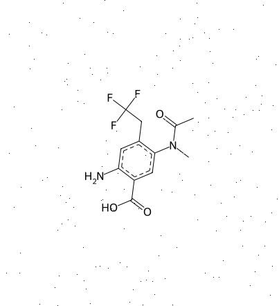 CC(=O)N(C)c1cc(C(=O)O)c(N)cc1CC(F)(F)F